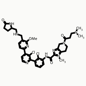 COc1nc(-c2ccnc(-c3cccc(NC(=O)c4nc5c(n4C)CCN(C(=O)CCN(C)C)C5)c3Cl)c2Cl)ccc1CNCC1CCC(=O)N1